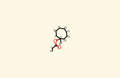 CCC(=O)OC1(C)CCCCCCC1